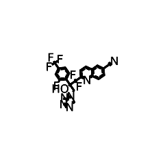 N#Cc1ccc2nc(C(F)(F)C(O)(Cn3cnnn3)c3ccc(C(F)(F)F)cc3F)ccc2c1